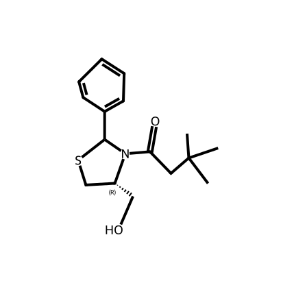 CC(C)(C)CC(=O)N1C(c2ccccc2)SC[C@H]1CO